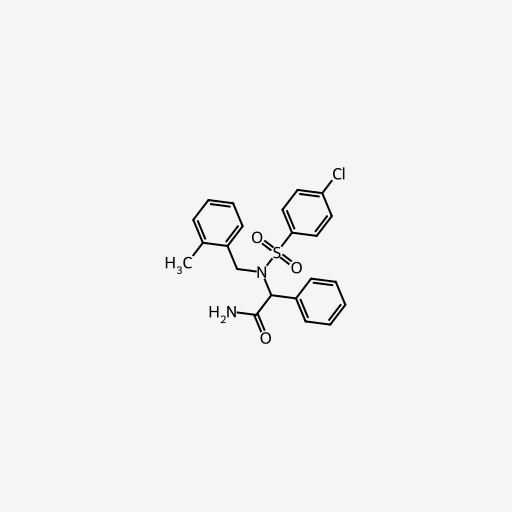 Cc1ccccc1CN(C(C(N)=O)c1ccccc1)S(=O)(=O)c1ccc(Cl)cc1